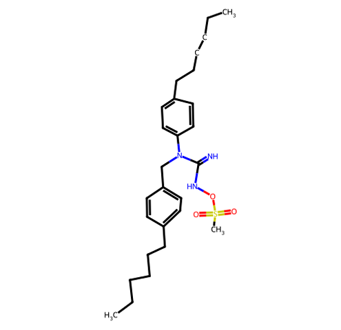 CCCCCCc1ccc(CN(C(=N)NOS(C)(=O)=O)c2ccc(CCCCCC)cc2)cc1